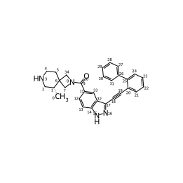 C[C@@H]1CNCCC12CN(C(=O)c1ccc3[nH]nc(C#Cc4ccccc4-c4ccccc4)c3c1)C2